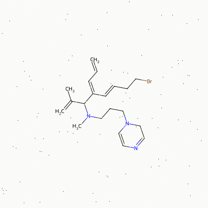 C=C/C=C(\C=CCCBr)C(C(=C)C)N(C)CCCN1C=CN=CC1